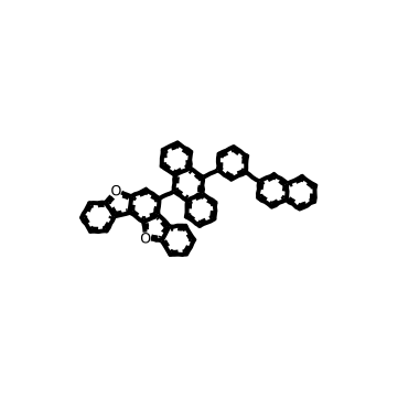 c1cc(-c2ccc3ccccc3c2)cc(-c2c3ccccc3c(-c3cc4oc5ccccc5c4c4oc5ccccc5c34)c3ccccc23)c1